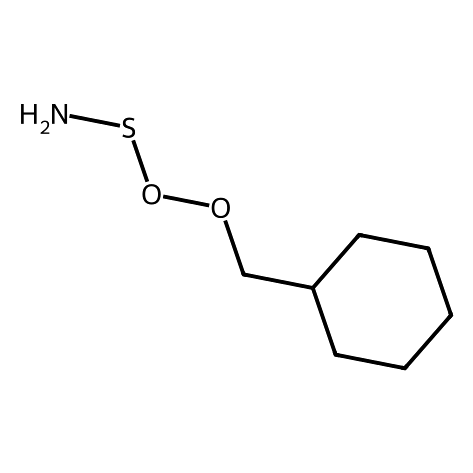 NSOOCC1CCCCC1